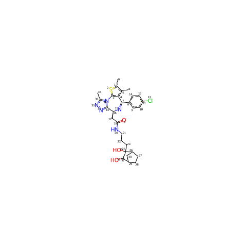 Cc1sc2c(c1C)C(c1ccc(Cl)cc1)=N[C@@H](CC(=O)NCCCC1(O)C3CCC(C3)C1O)c1nnc(C)n1-2